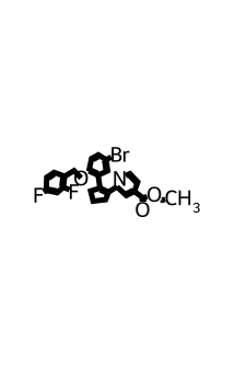 CCOC(=O)c1ccnc(C2=C(c3cc(Br)ccc3OCc3ccc(F)cc3F)CCC2)c1